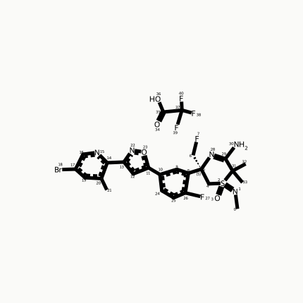 CN=S1(=O)C[C@@](CF)(c2cc(-c3cc(-c4ncc(Br)cc4C)no3)ccc2F)N=C(N)C1(C)C.O=C(O)C(F)(F)F